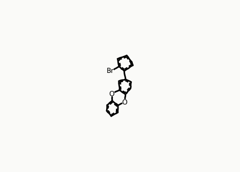 Brc1ccccc1-c1ccc2c(c1)Oc1ccccc1O2